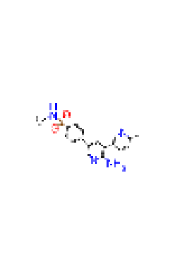 Cc1ccc(-c2cc(-c3ccc(S(=O)(=O)NC4CC4)cc3)cnc2N)cn1